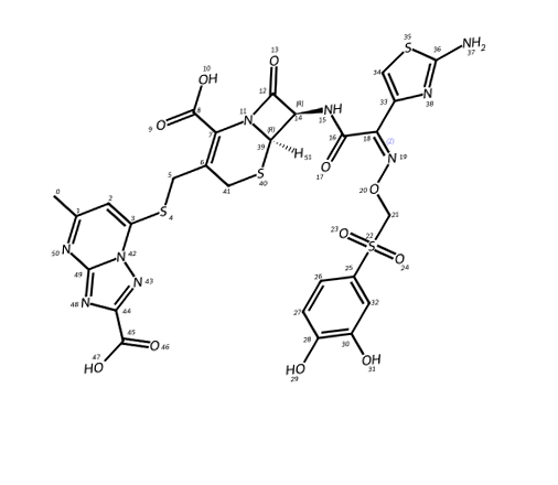 Cc1cc(SCC2=C(C(=O)O)N3C(=O)[C@@H](NC(=O)/C(=N\OCS(=O)(=O)c4ccc(O)c(O)c4)c4csc(N)n4)[C@H]3SC2)n2nc(C(=O)O)nc2n1